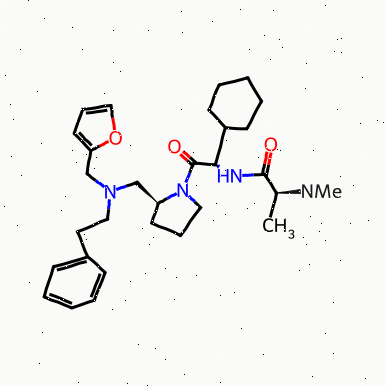 CN[C@@H](C)C(=O)N[C@H](C(=O)N1CCC[C@H]1CN(CCc1ccccc1)Cc1ccco1)C1CCCCC1